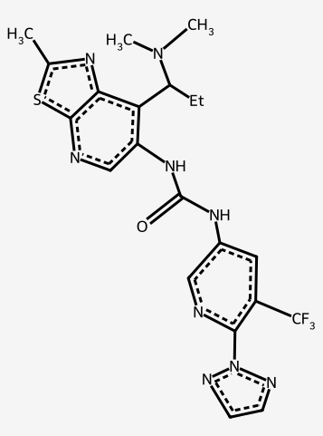 CCC(c1c(NC(=O)Nc2cnc(-n3nccn3)c(C(F)(F)F)c2)cnc2sc(C)nc12)N(C)C